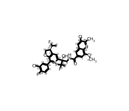 COc1cc(C(=O)NC[C@](O)(c2cc3c(c(-c4ccc(F)c(Cl)c4)n2)OC[C@H]3C(F)F)C(F)(F)F)cc2cc(Cl)c(C)nc12